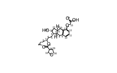 CCC[C@@H](CC[C@@H]1[C@H]2Cc3cccc(OCC(=O)O)c3C[C@H]2C[C@H]1O)OC(=O)C1CCOC1